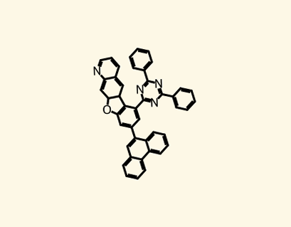 C1=c2cccnc2=CC2Oc3cc(-c4cc5ccccc5c5ccccc45)cc(-c4nc(-c5ccccc5)nc(-c5ccccc5)n4)c3C12